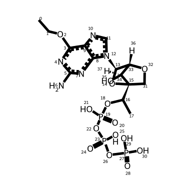 CCOc1nc(N)nc2c1ncn2[C@@H]1O[C@@]2(C(C)OP(=O)(O)OP(=O)(O)OP(=O)(O)O)CO[C@@H]1[C@@H]2O